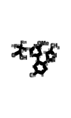 COc1cc(-c2cc(Cl)ccc2-n2cc(C)nn2)ncn1.O=C(O)C(F)(F)F